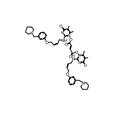 Cc1c(C)n(OC(=O)/C=C/C(=O)On2c(NC/C=C\COc3cccc(CN4CCCCC4)c3)nc(=O)c(C)c2C)c(NC/C=C\COc2cccc(CN3CCCCC3)c2)nc1=O